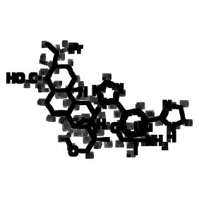 CC(C)[C@@H](C)[C@@]1(C)CC[C@]2(C)[C@H]3CC[C@@H]4[C@@]5(COC[C@@]4(C)[C@@H](OC[C@](C)(N)C(C)(C)C)[C@H](n4ncnc4-c4cccc(C6=NCCN6)c4)C5)C3=CC[C@@]2(C)[C@@H]1C(=O)O